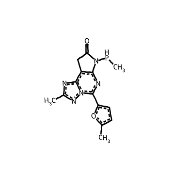 CPN1C(=O)Cc2c1nc(-c1ccc(C)o1)n1nc(C)nc21